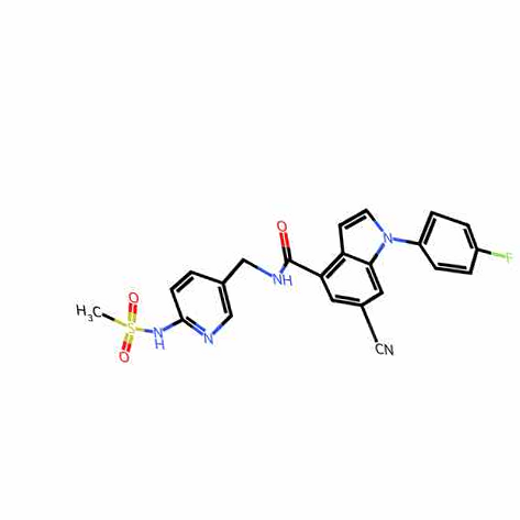 CS(=O)(=O)Nc1ccc(CNC(=O)c2cc(C#N)cc3c2ccn3-c2ccc(F)cc2)cn1